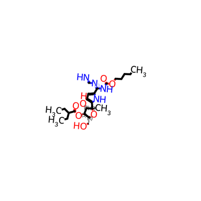 CCCCCOC(=O)N/C(=N/C=N)c1ccc([C@]2(C)O[C@H](CO)[C@@H](OC(=O)C(CC)CC)[C@H]2O)[nH]1